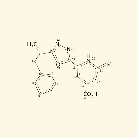 C[C@@H](Cc1ccccc1)c1nnc(-c2cc(C(=O)O)cc(=O)[nH]2)o1